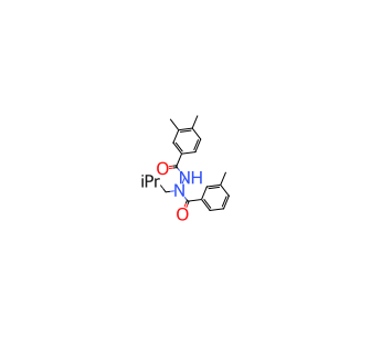 Cc1cccc(C(=O)N(CC(C)C)NC(=O)c2ccc(C)c(C)c2)c1